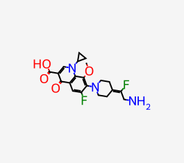 COc1c(N2CCC(=C(F)CN)CC2)c(F)cc2c(=O)c(C(=O)O)cn(C3CC3)c12